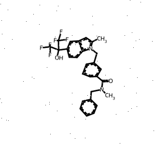 Cc1cc2cc(C(O)(C(F)(F)F)C(F)(F)F)ccc2n1Cc1cccc(C(=O)N(C)Cc2ccccc2)c1